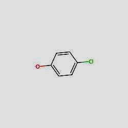 [O]c1ccc(Cl)cc1